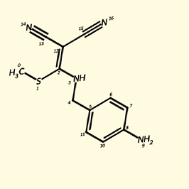 CSC(NCc1ccc(N)cc1)=C(C#N)C#N